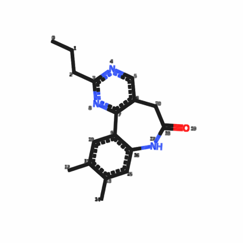 CCCc1ncc2c(n1)-c1cc(C)c(C)cc1NC(=O)C2